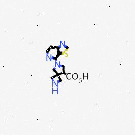 O=C(O)C1CN(c2nccc3ncsc23)CC12CNC2